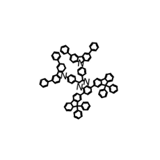 C1=CC2c3ccc(-c4ccc(-c5ccc6c(c5)C(c5ccccc5)(c5ccccc5)c5ccccc5-6)c5nc(-c6ccc(-n7c8ccc(-c9ccccc9)cc8c8cc(-c9ccccc9)ccc87)cc6)c(-c6ccc(-n7c8c(c9cc(-c%10ccccc%10)ccc97)C=C(c7ccccc7)CC8)cc6)nc45)cc3C(c3ccccc3)(c3ccccc3)C2C=C1